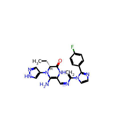 C=C(/N=C\C1=C(N)N(c2cn[nH]c2)[C@H](CC)C(=O)N1)n1ccnc1-c1ccc(F)cc1